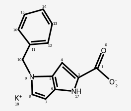 O=C([O-])c1cc2c(ccn2Cc2ccccc2)[nH]1.[K+]